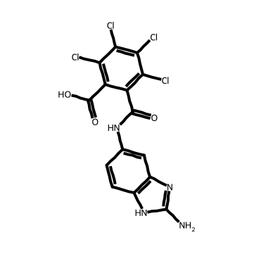 Nc1nc2cc(NC(=O)c3c(Cl)c(Cl)c(Cl)c(Cl)c3C(=O)O)ccc2[nH]1